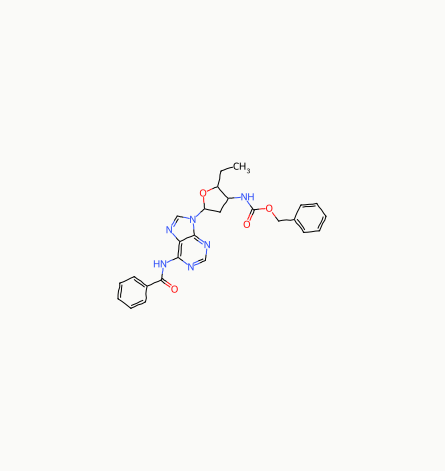 CCC1OC(n2cnc3c(NC(=O)c4ccccc4)ncnc32)CC1NC(=O)OCc1ccccc1